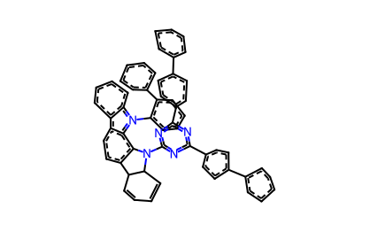 C1=CC2c3ccc4c5ccccc5n(-c5ccccc5-c5ccccc5)c4c3N(c3nc(-c4ccc(-c5ccccc5)cc4)nc(-c4ccc(-c5ccccc5)cc4)n3)C2C=C1